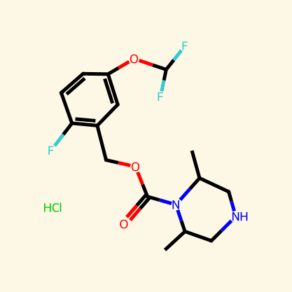 CC1CNCC(C)N1C(=O)OCc1cc(OC(F)F)ccc1F.Cl